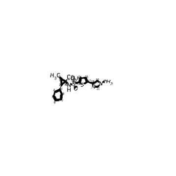 CC1[C@H](c2ccccc2)[C@]1(NS(=O)(=O)c1ccc(-c2cn(C)cn2)s1)C(=O)O